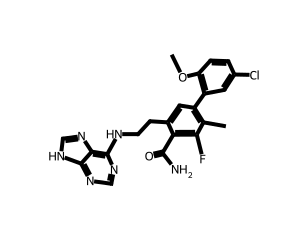 COc1ccc(Cl)cc1-c1cc(CCNc2ncnc3[nH]cnc23)c(C(N)=O)c(F)c1C